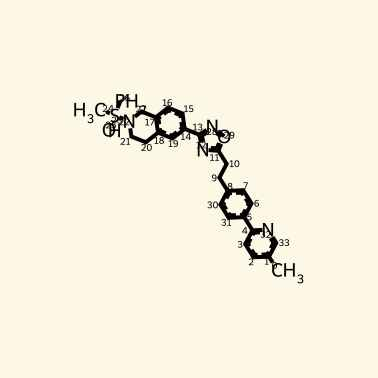 Cc1ccc(-c2ccc(CCc3nc(-c4ccc5c(c4)CCN([SH](C)(=O)P)C5)no3)cc2)nc1